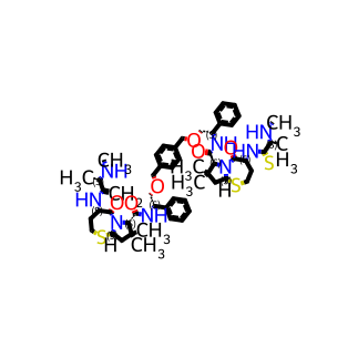 C=C(N[C@H]1CCS[C@H]2CC(C)(C)[C@@H](C(=O)N[C@H](COCc3ccc(COC[C@@H](NC(=O)[C@H]4N5C(=O)[C@@H](NC(=S)[C@H](C)NC)CCS[C@H]5CC4(C)C)c4ccccc4)cc3)c3ccccc3)N2C1=O)[C@H](C)NC